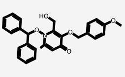 COc1ccc(COc2c(CO)n(OC(c3ccccc3)c3ccccc3)c(C)cc2=O)cc1